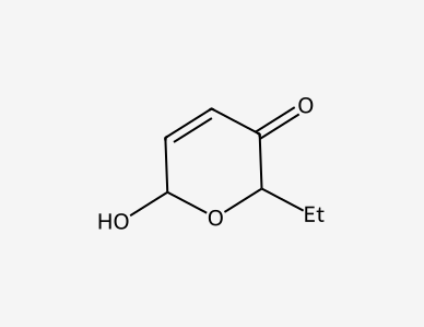 CCC1OC(O)C=CC1=O